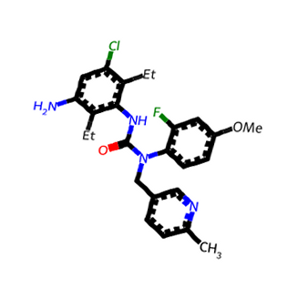 CCc1c(N)cc(Cl)c(CC)c1NC(=O)N(Cc1ccc(C)nc1)c1ccc(OC)cc1F